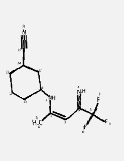 C/C(=C/C(=N)C(F)(F)F)NC1CCCC(C#N)C1